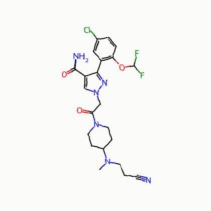 CN(CCC#N)C1CCN(C(=O)Cn2cc(C(N)=O)c(-c3cc(Cl)ccc3OC(F)F)n2)CC1